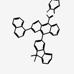 CC1(C)c2ccccc2-c2cc(-c3c4ccccc4c(-c4nc5ccccc5s4)c4ccc(-c5cccc6ccccc56)cc34)ccc21